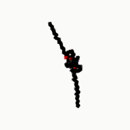 CCCCCCCCCCCCCCCCCCN1C=CN(CCCCCCCCCCCCCCCCC)C1(Cc1ccccc1)C(CC)c1ccccc1